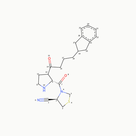 N#C[C@@H]1CSCN1C(=O)[C@@H]1NCCC1C(=O)CCCC1Cc2ccccc2C1